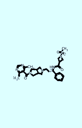 Cc1ncnc(C)c1C(=O)N1CC2CN(CC[C@H](NC(=O)C3CN(S(C)(=O)=O)C3)c3ccccc3)CC2C1